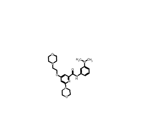 CN(C)c1cccc(NC(=O)c2cc(OCCN3CCOCC3)cc(N3CCOCC3)n2)c1